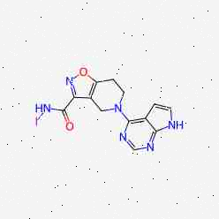 O=C(NI)c1noc2c1CN(c1ncnc3[nH]ccc13)CC2